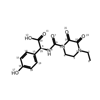 CCN1CCN(C(=O)N[C@H](C(=O)O)c2ccc(O)cc2)C(=O)C1=O